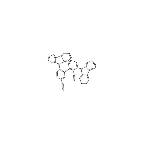 N#Cc1ccc(-n2c3ccccc3c3ccccc32)c(-c2cccc(-n3c4ccccc4c4ccccc43)c2C#N)c1